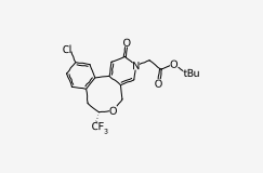 CC(C)(C)OC(=O)Cn1cc2c(cc1=O)-c1cc(Cl)ccc1C[C@@H](C(F)(F)F)OC2